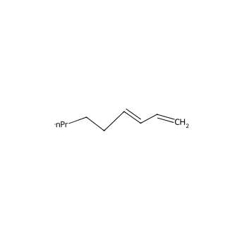 C=CC=CCC[CH]CC